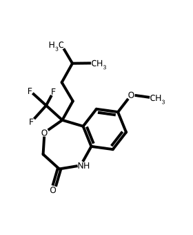 COc1ccc2c(c1)C(CCC(C)C)(C(F)(F)F)OCC(=O)N2